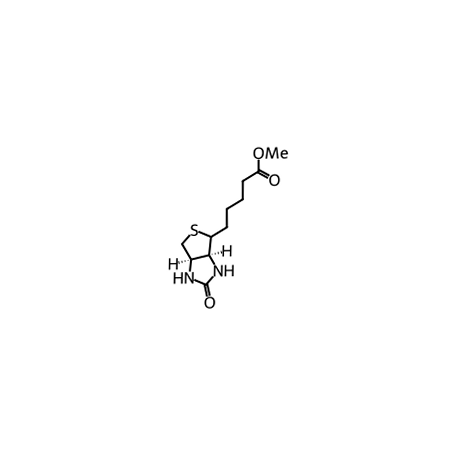 COC(=O)CCCCC1SC[C@@H]2NC(=O)N[C@H]12